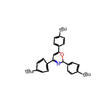 CC(C)(C)c1ccc(C2=CC(c3ccc(C(C)(C)C)cc3)=NC(c3ccc(C(C)(C)C)cc3)O2)cc1